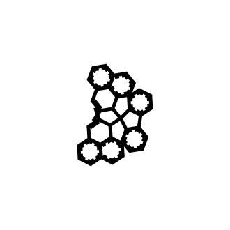 CC1=Cc2cccc3cccc(c23)C1C1(C2C(C)=Cc3cccc4cccc2c34)c2ccccc2-c2ccccc21